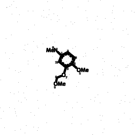 CNc1ccc(OC)c(OCOC)c1